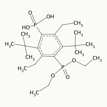 CCOP(=O)(OCC)c1c(CC)c(C(C)(C)C)c(P(=O)(O)O)c(CC)c1C(C)(C)C